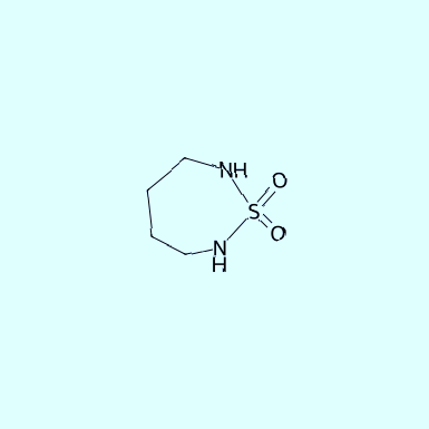 O=S1(=O)NCCCCN1